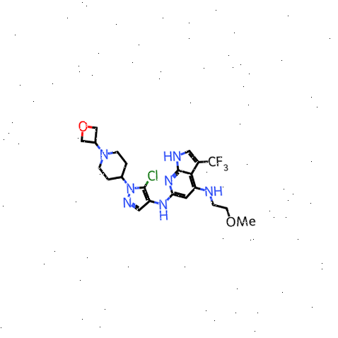 COCCNc1cc(Nc2cnn(C3CCN(C4COC4)CC3)c2Cl)nc2[nH]cc(C(F)(F)F)c12